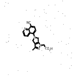 Cc1nn(CC(=O)O)c2c1CN(c1ccc(C#N)c3ncccc13)C2